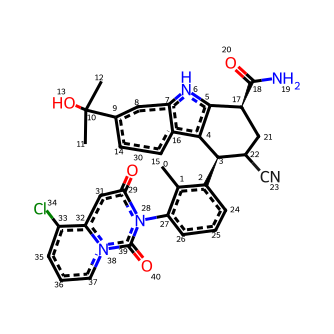 Cc1c([C@H]2c3c([nH]c4cc(C(C)(C)O)ccc34)[C@@H](C(N)=O)CC2C#N)cccc1-n1c(=O)cc2c(Cl)cccn2c1=O